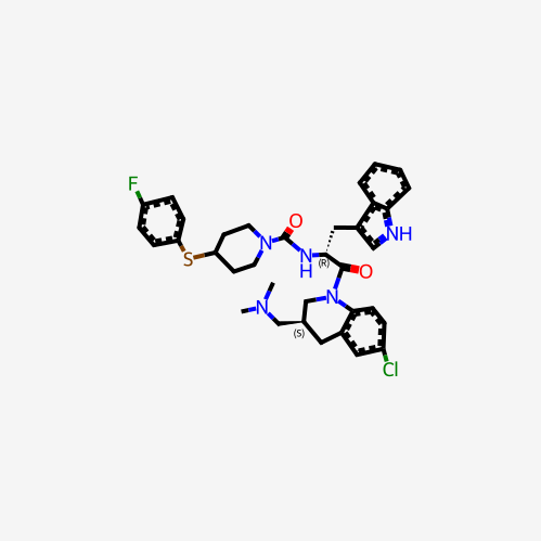 CN(C)C[C@@H]1Cc2cc(Cl)ccc2N(C(=O)[C@@H](Cc2c[nH]c3ccccc23)NC(=O)N2CCC(Sc3ccc(F)cc3)CC2)C1